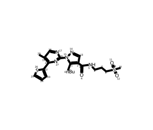 CCCCc1c(C(=O)NCCCS(C)(=O)=O)cnn1-c1ncc(C)c(-c2cccs2)n1